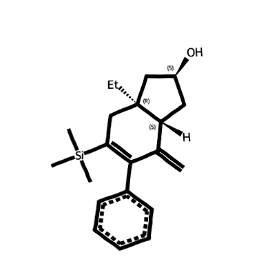 C=C1C(c2ccccc2)=C([Si](C)(C)C)C[C@@]2(CC)C[C@@H](O)C[C@H]12